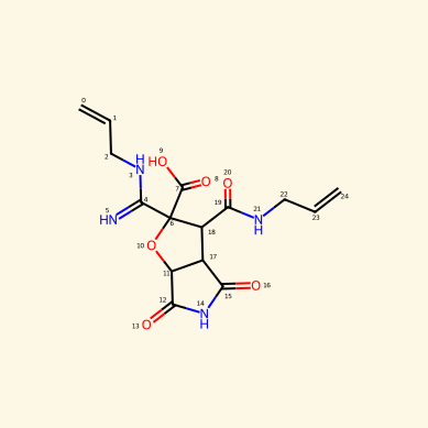 C=CCNC(=N)C1(C(=O)O)OC2C(=O)NC(=O)C2C1C(=O)NCC=C